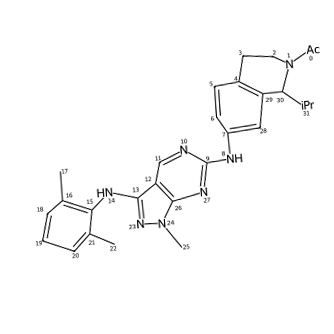 CC(=O)N1CCc2ccc(Nc3ncc4c(Nc5c(C)cccc5C)nn(C)c4n3)cc2C1C(C)C